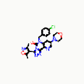 Cc1noc(C)c1-c1nnc2c3ncc(N4CCOCC4)cc3n(Cc3ccc(Cl)cc3)c(=O)n12